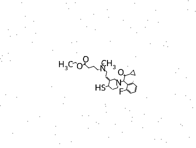 CCOC(=O)CCCN(C)CC=C1CN(C(C(=O)C2CC2)c2ccccc2F)CCC1S